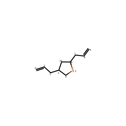 C=CCC1CSC(CC=C)C1